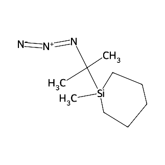 CC(C)(N=[N+]=[N-])[Si]1(C)CCCCC1